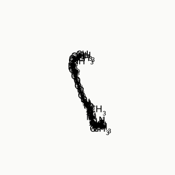 C[C@@H]1CN(c2ncc(-c3ccc4c(n3)N(Cc3cccnc3C#N)C(C)(C)C4=O)cn2)CCN1C(=O)Cn1cc(COCCOCCOCCOCCOCCOc2cccc(Oc3ccc(C(=O)N[C@@H](CCC(C)(C)C)C(=O)O)cn3)c2)nn1